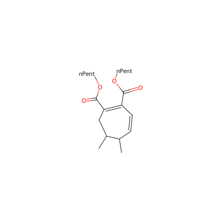 CCCCCOC(=O)C1=C(C(=O)OCCCCC)CC(C)C(C)C=C1